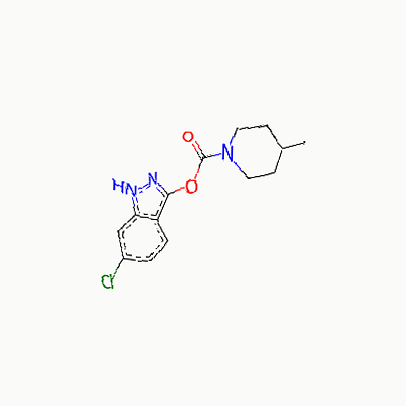 CC1CCN(C(=O)Oc2n[nH]c3cc(Cl)ccc23)CC1